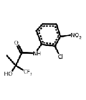 CC(O)(C(=O)Nc1cccc([N+](=O)[O-])c1Cl)C(F)(F)F